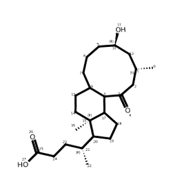 C[C@@H]1CC(=O)C2C(CCC[C@@H](O)C1)CC[C@@]1(C)C2CCC1[C@H](C)CCC(=O)O